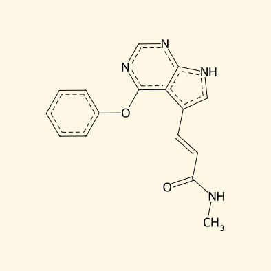 CNC(=O)C=Cc1c[nH]c2ncnc(Oc3ccccc3)c12